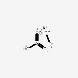 O=CO.O=[S-](=O)O.[K+]